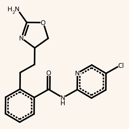 NC1=NC(CCc2ccccc2C(=O)Nc2ccc(Cl)cn2)CO1